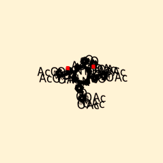 CC(=O)O[C@@H]1[C@@H](OC(C)=O)[C@H](Oc2cccc(-c3c4nc(c(-c5cccc(O[C@@H]6OC[C@@H](OC(C)=O)[C@H](OC(C)=O)[C@H]6OC(C)=O)c5)c5ccc([nH]5)c(-c5cccc(O[C@@H]6OC[C@@H](OC(C)=O)[C@H](OC(C)=O)[C@H]6OC(C)=O)c5)c5nc(c(-c6cccc(O[C@@H]7OC[C@@H](OC(C)=O)[C@H](OC(C)=O)[C@H]7OC(C)=O)c6)c6ccc3[nH]6)C=C5)C=C4)c2)OC[C@H]1OC(C)=O